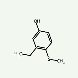 CCc1cc(O)ccc1SC